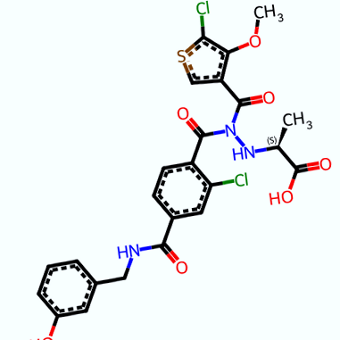 COc1c(C(=O)N(N[C@@H](C)C(=O)O)C(=O)c2ccc(C(=O)NCc3cccc(O)c3)cc2Cl)csc1Cl